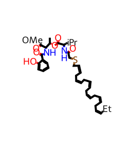 CC/C=C\C/C=C\C/C=C\C/C=C\C/C=C\C/C=C\CSCC(=O)NC(C(=O)OC(C)C(NC(=O)c1ccccc1O)C(=O)OC)C(C)C